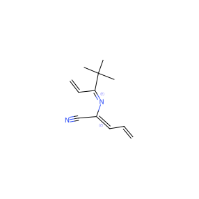 C=C/C=C(C#N)\N=C(/C=C)C(C)(C)C